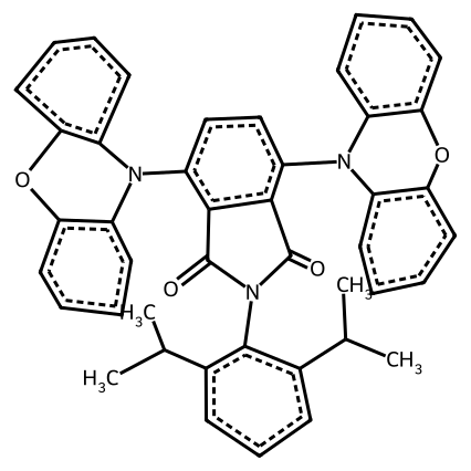 CC(C)c1cccc(C(C)C)c1N1C(=O)c2c(N3c4ccccc4Oc4ccccc43)ccc(N3c4ccccc4Oc4ccccc43)c2C1=O